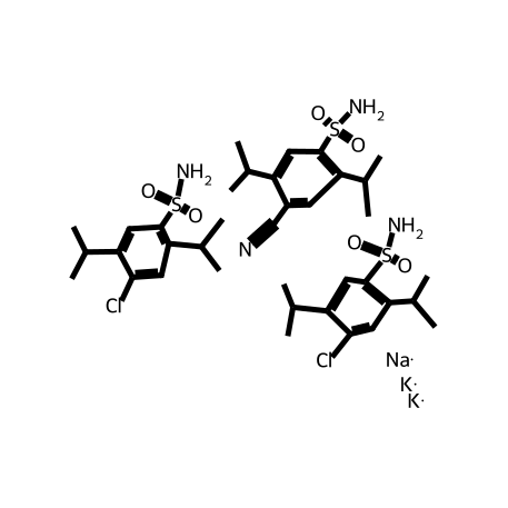 CC(C)c1cc(S(N)(=O)=O)c(C(C)C)cc1C#N.CC(C)c1cc(S(N)(=O)=O)c(C(C)C)cc1Cl.CC(C)c1cc(S(N)(=O)=O)c(C(C)C)cc1Cl.[K].[K].[Na]